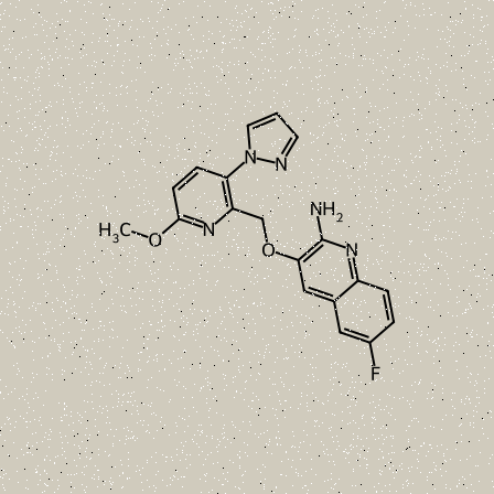 COc1ccc(-n2cccn2)c(COc2cc3cc(F)ccc3nc2N)n1